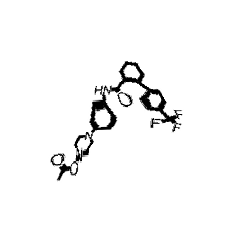 CC(=O)ON1CCN(c2ccc(NC(=O)C3=C(c4ccc(C(F)(F)F)cc4)CCCC3)cc2)CC1